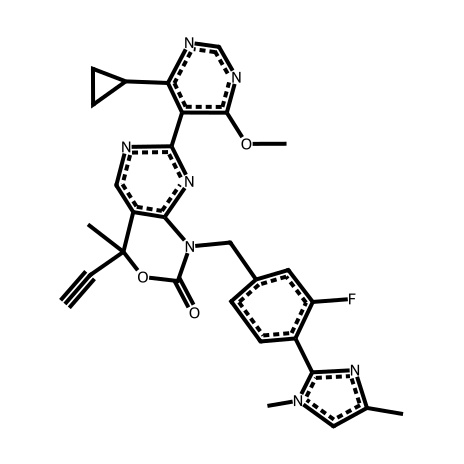 C#CC1(C)OC(=O)N(Cc2ccc(-c3nc(C)cn3C)c(F)c2)c2nc(-c3c(OC)ncnc3C3CC3)ncc21